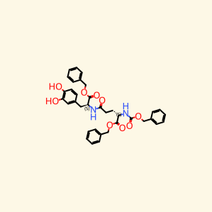 O=C(CC[C@H](NC(=O)OCc1ccccc1)C(=O)OCc1ccccc1)N[C@@H](Cc1ccc(O)c(O)c1)C(=O)OCc1ccccc1